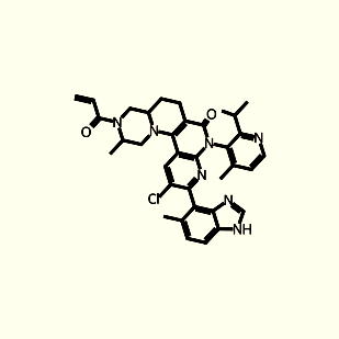 C=CC(=O)N1CC2CCc3c(c4cc(Cl)c(-c5c(C)ccc6[nH]cnc56)nc4n(-c4c(C)ccnc4C(C)C)c3=O)N2CC1C